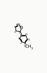 Cc1ccc(C2C[C]=NO2)cc1